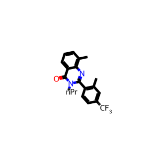 CCCn1c(-c2ccc(C(F)(F)F)cc2C)nc2c(C)cccc2c1=O